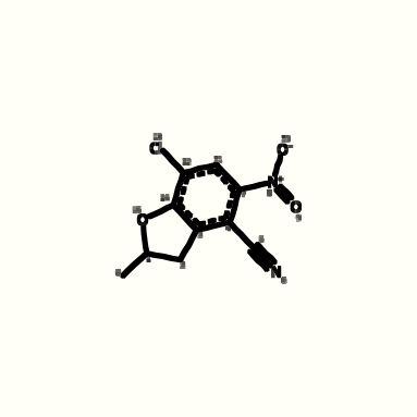 CC1Cc2c(C#N)c([N+](=O)[O-])cc(Cl)c2O1